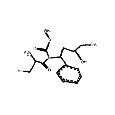 CC(C)(C)OC(=O)N(C(=O)C(N)CS)C(CC(O)CO)c1ccccc1